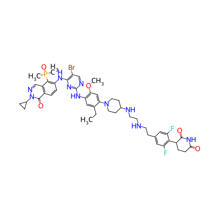 CCc1cc(Nc2ncc(Br)c(Nc3ccc4c(=O)n(C5CC5)ncc4c3P(C)(C)=O)n2)c(OC)cc1N1CCC(NCCNCCc2cc(F)c(C3CCC(=O)NC3=O)c(F)c2)CC1